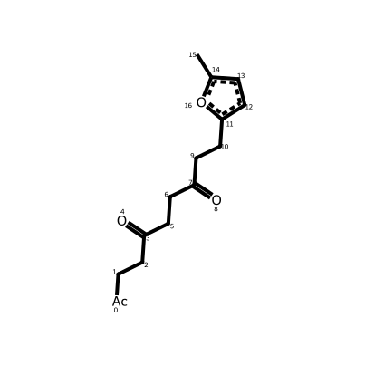 CC(=O)CCC(=O)CCC(=O)CCc1ccc(C)o1